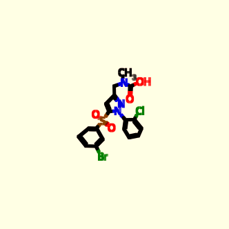 CN(Cc1cc(S(=O)(=O)c2cccc(Br)c2)n(-c2ccccc2Cl)n1)C(=O)O